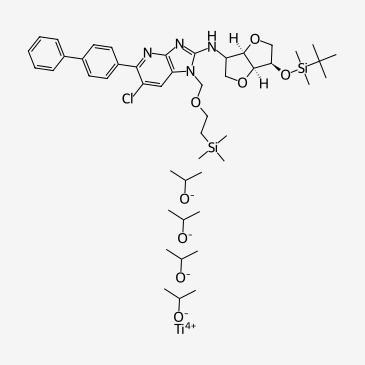 CC(C)(C)[Si](C)(C)O[C@@H]1CO[C@@H]2C(Nc3nc4nc(-c5ccc(-c6ccccc6)cc5)c(Cl)cc4n3COCC[Si](C)(C)C)CO[C@@H]21.CC(C)[O-].CC(C)[O-].CC(C)[O-].CC(C)[O-].[Ti+4]